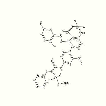 COc1cc(OC(=O)N(Cc2ccccc2)C(C)(C)CN)ccc1-c1ccc2c(c1COc1cc(F)ccc1C)C(C)=CC(C)(C)N2